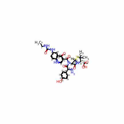 CCNC(=O)Nc1ccc2[nH]cc(C(=O)N(C(=O)C(N)c3ccc(O)cc3)[C@@H]3C(=O)N4[C@@H]3SC(C)(C)[C@@H]4C(=O)O)c(=O)c2c1